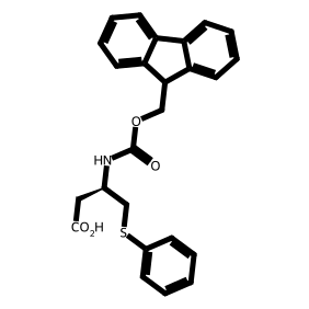 O=C(O)C[C@H](CSc1ccccc1)NC(=O)OCC1c2ccccc2-c2ccccc21